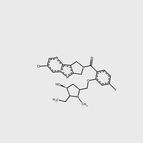 CCC1[C@@H](O)CC(COc2cc(F)ccc2C(=O)N2Cc3nn4cc(Cl)cnc4c3C2)N1C